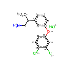 Cl.NCC(C(=O)O)c1cccc(Oc2ccc(Cl)c(Cl)c2)c1